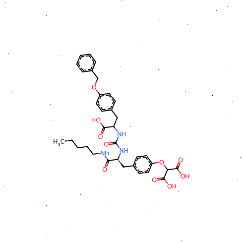 CCCCCNC(=O)[C@H](Cc1ccc(OC(C(=O)O)C(=O)O)cc1)NC(=O)NC(Cc1ccc(OCc2ccccc2)cc1)C(=O)O